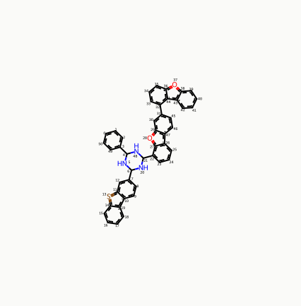 c1ccc(C2NC(c3ccc4c(c3)sc3ccccc34)NC(c3cccc4c3oc3cc(-c5cccc6oc7ccccc7c56)ccc34)N2)cc1